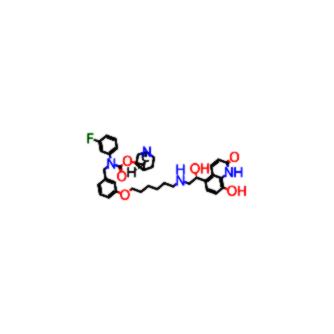 O=C(O[C@H]1CN2CCC1CC2)N(Cc1cccc(OCCCCCCNC[C@H](O)c2ccc(O)c3[nH]c(=O)ccc23)c1)c1cccc(F)c1